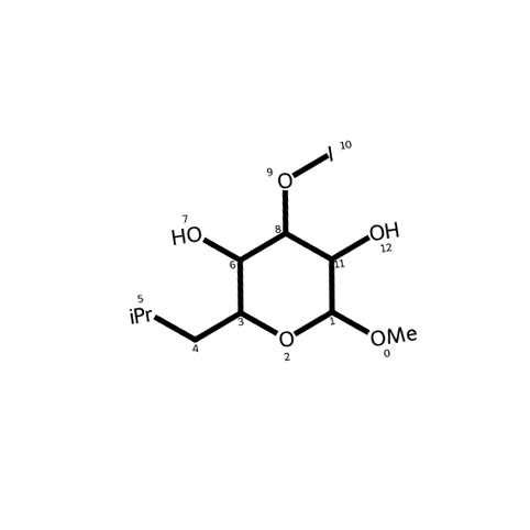 COC1OC(CC(C)C)C(O)C(OI)C1O